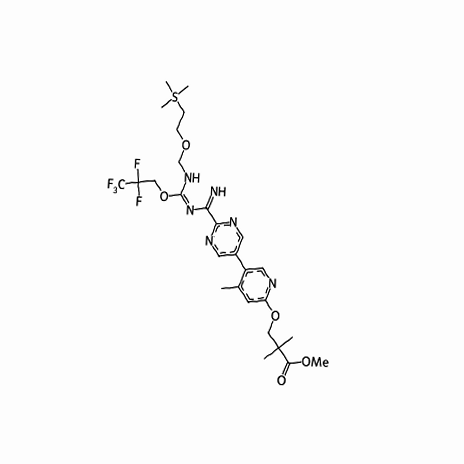 COC(=O)C(C)(C)COc1cc(C)c(-c2cnc(C(=N)/N=C(\NCOCCS(C)(C)C)OCC(F)(F)C(F)(F)F)nc2)cn1